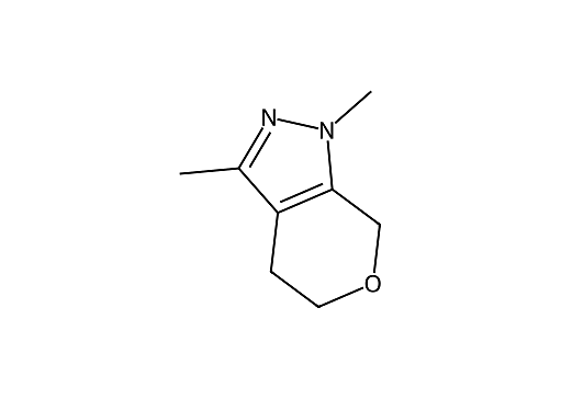 Cc1nn(C)c2c1CCOC2